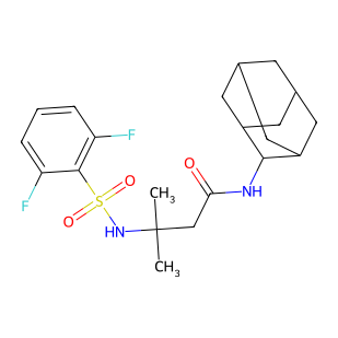 CC(C)(CC(=O)NC1C2CC3CC(C2)CC1C3)NS(=O)(=O)c1c(F)cccc1F